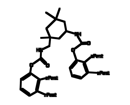 CCCCCc1cccc(OC(=O)NCC2(C)CC(NC(=O)Oc3cccc(CCCCC)c3CCCCC)CC(C)(C)C2)c1CCCCC